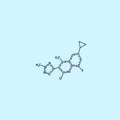 Cc1noc(-c2c(Cl)nc3c(F)cc(C4CC4)cc3c2C)n1